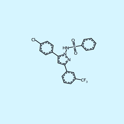 O=S(=O)(Nn1nc(-c2cccc(C(F)(F)F)c2)cc1-c1ccc(Cl)cc1)c1ccccc1